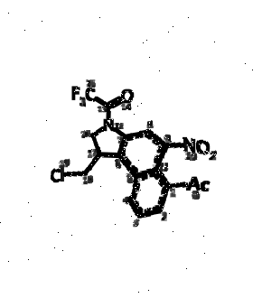 CC(=O)c1cccc2c3c(cc([N+](=O)[O-])c12)N(C(=O)C(F)(F)F)CC3CCl